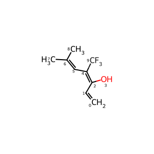 C=C/C(O)=C(\C=C(C)C)C(F)(F)F